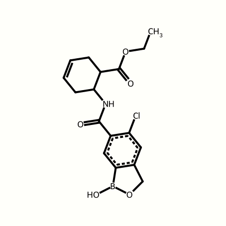 CCOC(=O)C1CC=CCC1NC(=O)c1cc2c(cc1Cl)COB2O